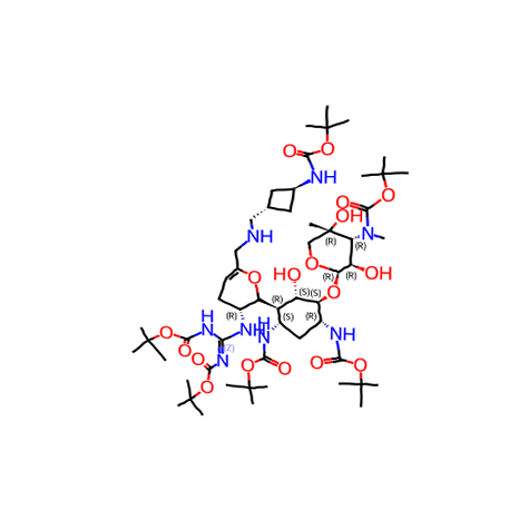 CN(C(=O)OC(C)(C)C)[C@@H]1[C@@H](O)[C@@H](O[C@@H]2[C@@H](O)[C@H](C3OC(CNC[C@H]4C[C@H](NC(=O)OC(C)(C)C)C4)=CC[C@H]3N/C(=N/C(=O)OC(C)(C)C)NC(=O)OC(C)(C)C)[C@@H](NC(=O)OC(C)(C)C)C[C@H]2NC(=O)OC(C)(C)C)OC[C@]1(C)O